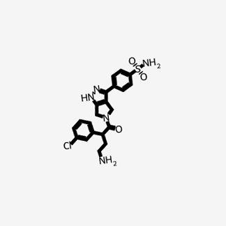 NCCC(C(=O)N1Cc2[nH]nc(-c3ccc(S(N)(=O)=O)cc3)c2C1)c1cccc(Cl)c1